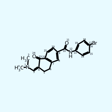 CN(C)/C=C1/CCc2cc(C(=O)Nc3ccc(Br)cc3)ccc2C1=O